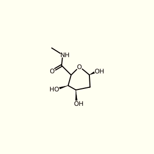 CNC(=O)C1O[C@@H](O)C[C@@H](O)[C@H]1O